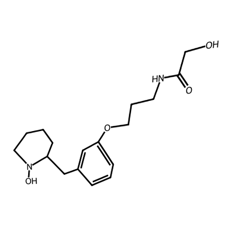 O=C(CO)NCCCOc1cccc(CC2CCCCN2O)c1